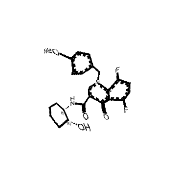 COc1ccc(Cn2cc(C(=O)N[C@H]3CCCC[C@H]3O)c(=O)c3c(F)ccc(F)c32)cc1